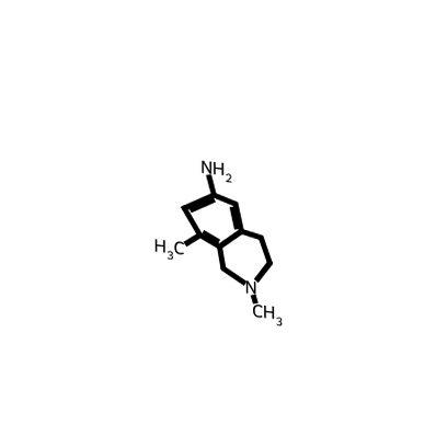 Cc1cc(N)cc2c1CN(C)CC2